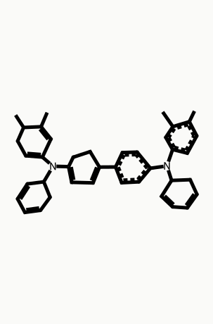 CC1=CC(N(C2=CC=C(c3ccc(N(c4ccc(C)c(C)c4)C4C=CC=CC4)cc3)CC2)C2C=CC=CC2)=CCC1C